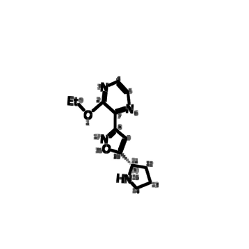 CCOc1nccnc1-c1cc([C@@H]2CCCN2)on1